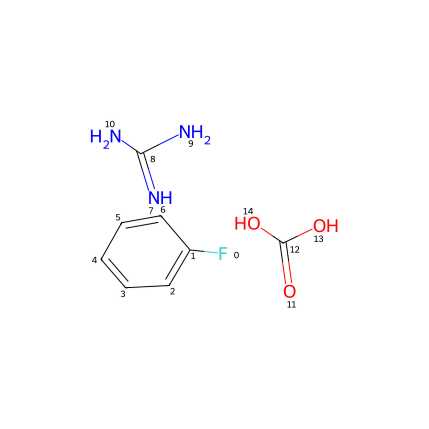 Fc1ccccc1.N=C(N)N.O=C(O)O